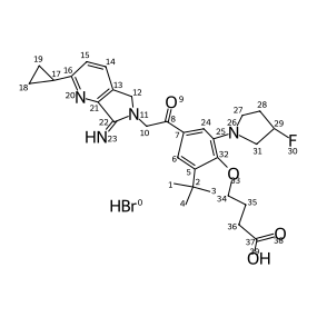 Br.CC(C)(C)c1cc(C(=O)CN2Cc3ccc(C4CC4)nc3C2=N)cc(N2CCC(F)C2)c1OCCCC(=O)O